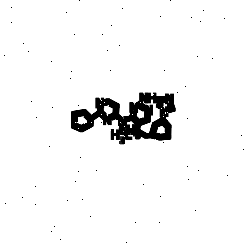 C[C@@H](Cc1cccc(-n2ccnc2)c1)c1cnc(N)nc1N(C)c1ccnc(-c2ccccc2)n1